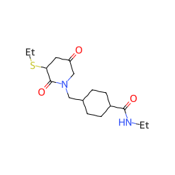 CCNC(=O)C1CCC(CN2CC(=O)CC(SCC)C2=O)CC1